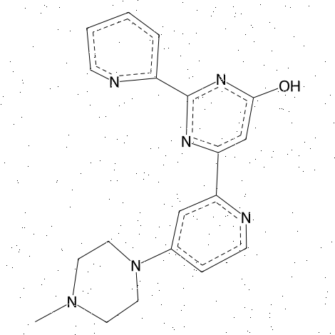 CN1CCN(c2ccnc(-c3cc(O)nc(-c4ccccn4)n3)c2)CC1